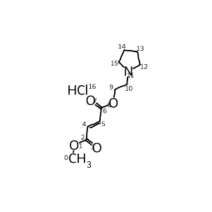 COC(=O)/C=C/C(=O)OCCN1CCCC1.Cl